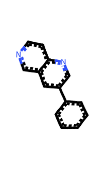 c1ccc(-c2cnc3ccncc3c2)cc1